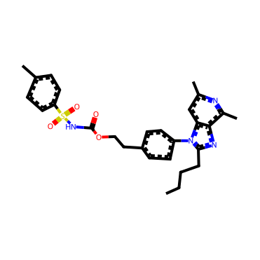 CCCCc1nc2c(C)nc(C)cc2n1-c1ccc(CCOC(=O)NS(=O)(=O)c2ccc(C)cc2)cc1